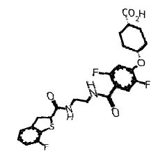 O=C(NCCNC(=O)C1Cc2cccc(F)c2S1)c1cc(F)c(O[C@H]2CC[C@@H](C(=O)O)CC2)cc1F